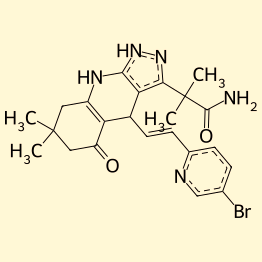 CC1(C)CC(=O)C2=C(C1)Nc1[nH]nc(C(C)(C)C(N)=O)c1C2/C=C/c1ccc(Br)cn1